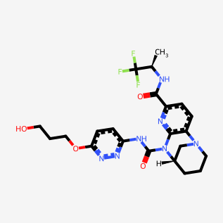 C[C@@H](NC(=O)c1ccc2c(n1)N(C(=O)Nc1ccc(OCCCO)nn1)[C@H]1CCCN2C1)C(F)(F)F